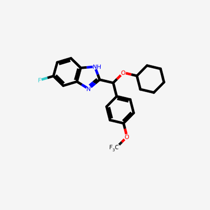 Fc1ccc2[nH]c(C(OC3CCCCC3)c3ccc(OC(F)(F)F)cc3)nc2c1